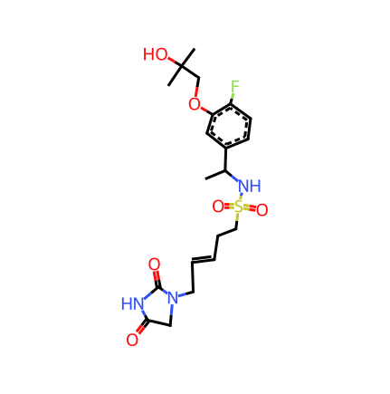 CC(NS(=O)(=O)CC/C=C/CN1CC(=O)NC1=O)c1ccc(F)c(OCC(C)(C)O)c1